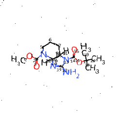 COC(=O)N1CCC[C@H]2[C@@H]1N=C(N)N2C(=O)OC(C)(C)C